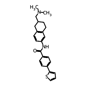 CN(C)CC1CCc2cc(NC(=O)c3ccc(-c4cccs4)cc3)ccc2C1